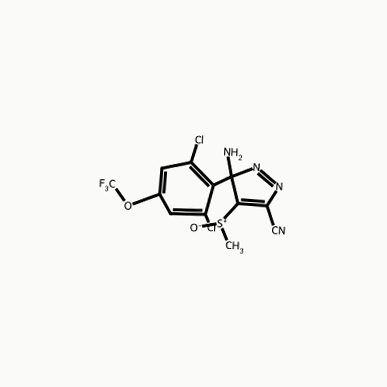 C[S+]([O-])C1=C(C#N)N=NC1(N)c1c(Cl)cc(OC(F)(F)F)cc1Cl